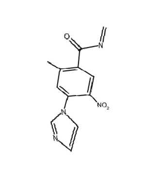 C=NC(=O)c1cc([N+](=O)[O-])c(-n2ccnc2)cc1C